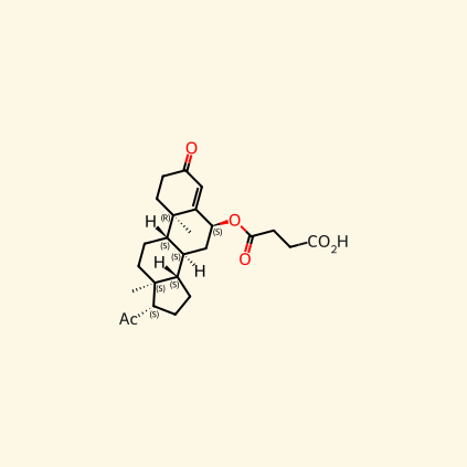 CC(=O)[C@H]1CC[C@H]2[C@@H]3C[C@H](OC(=O)CCC(=O)O)C4=CC(=O)CC[C@]4(C)[C@H]3CC[C@]12C